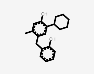 Cc1cc(O)c(C2CCCCC2)cc1Cc1ccccc1O